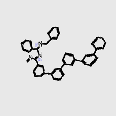 C=N/C(=N\C(=N/Cc1ccccc1)c1ccccc1)c1cccc(-c2cccc(-c3cccc(-c4cccc(C5=CCCC=C5)c4)c3)c2)c1